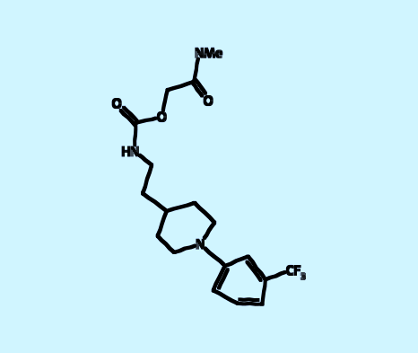 CNC(=O)COC(=O)NCCC1CCN(c2cccc(C(F)(F)F)c2)CC1